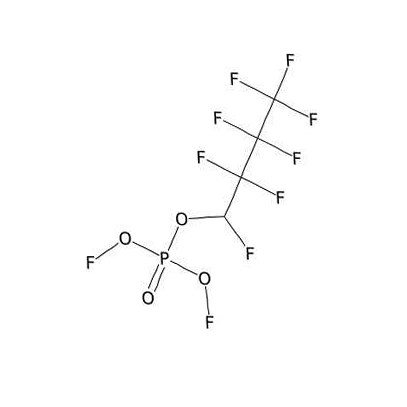 O=P(OF)(OF)OC(F)C(F)(F)C(F)(F)C(F)(F)F